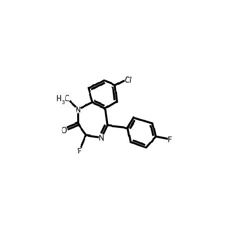 CN1C(=O)C(F)N=C(c2ccc(F)cc2)c2cc(Cl)ccc21